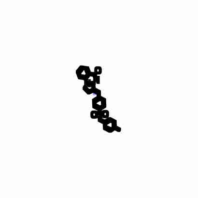 Cc1ccc(CS(=O)(=O)c2ccc(/C=C3\CCn4c3nc(=O)c3ccccc34)cc2)cc1